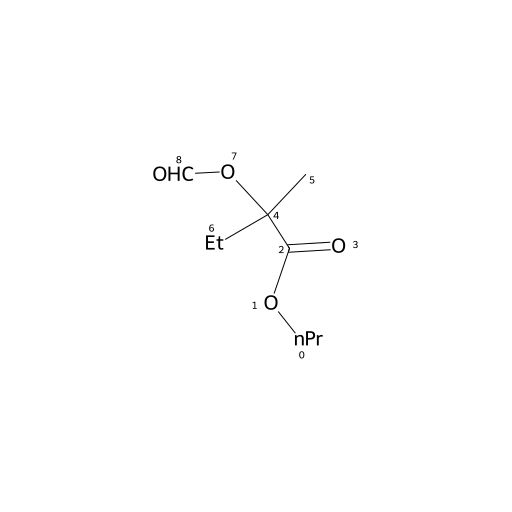 CCCOC(=O)C(C)(CC)OC=O